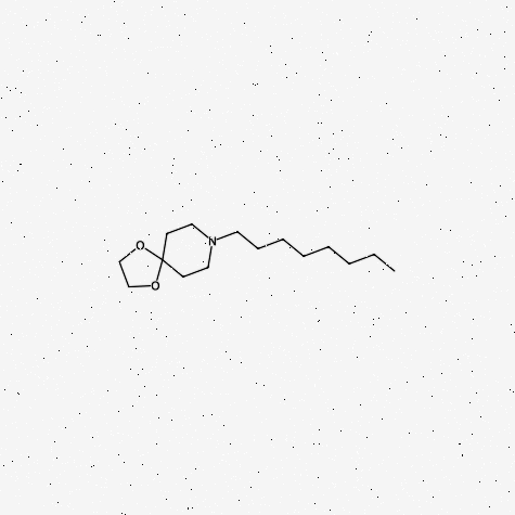 CCCCCCCCN1CCC2(CC1)OCCO2